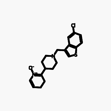 [O-][N+]1=C(C2CCN(Cc3csc4ccc(Cl)cc34)CC2)CCC=C1